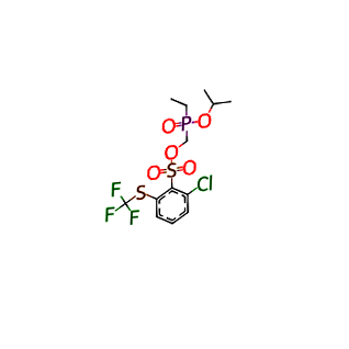 CCP(=O)(COS(=O)(=O)c1c(Cl)cccc1SC(F)(F)F)OC(C)C